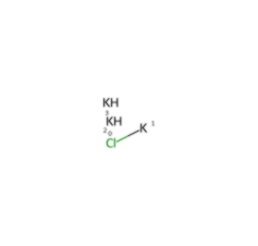 [Cl][K].[KH].[KH]